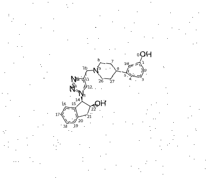 Oc1cccc(C2CCN(Cc3cn([C@@H]4c5ccccc5C[C@@H]4O)nn3)CC2)c1